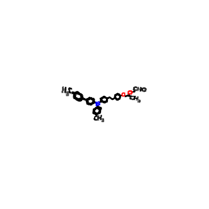 Cc1ccc(-c2ccc(N(c3ccc(C)cc3)c3ccc(CCc4ccc(OCC(C)OCC=O)cc4)cc3)cc2)cc1